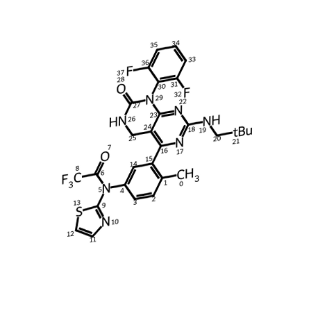 Cc1ccc(N(C(=O)C(F)(F)F)c2nccs2)cc1-c1nc(NCC(C)(C)C)nc2c1CNC(=O)N2c1c(F)cccc1F